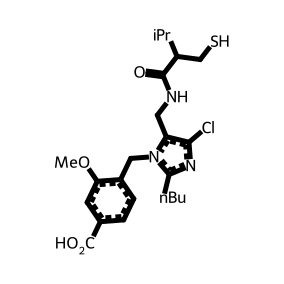 CCCCc1nc(Cl)c(CNC(=O)C(CS)C(C)C)n1Cc1ccc(C(=O)O)cc1OC